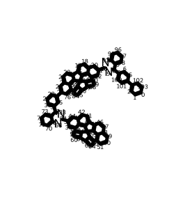 c1ccc(-c2ccc(-c3nc(-c4ccc5c6c(ccc5c4)-c4ccc5cc(-c7cccc(-c8nc(-c9ccc%10c%11c(ccc%10c9)-c9ccc%10ccccc%10c9C%119c%10ccccc%10-c%10ccccc%109)nc9ccccc89)c7)ccc5c4C64c5ccccc5-c5ccccc54)nc4ccccc34)cc2)cc1